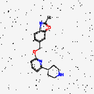 CCc1nc2ccc(COc3cccc(C4CCNCC4)n3)cc2o1